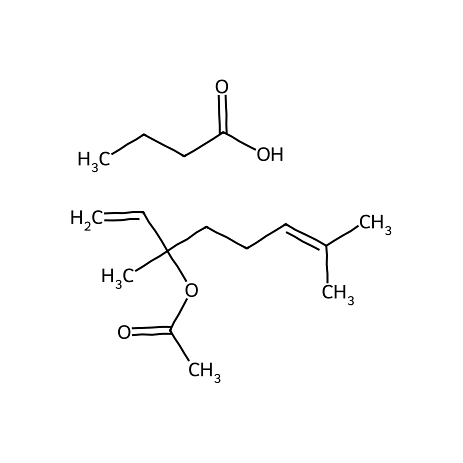 C=CC(C)(CCC=C(C)C)OC(C)=O.CCCC(=O)O